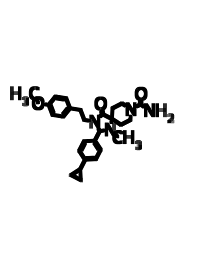 COc1ccc(CCN2C(=O)C3(CCN(C(N)=O)CC3)N(C)C2c2ccc(C3CC3)cc2)cc1